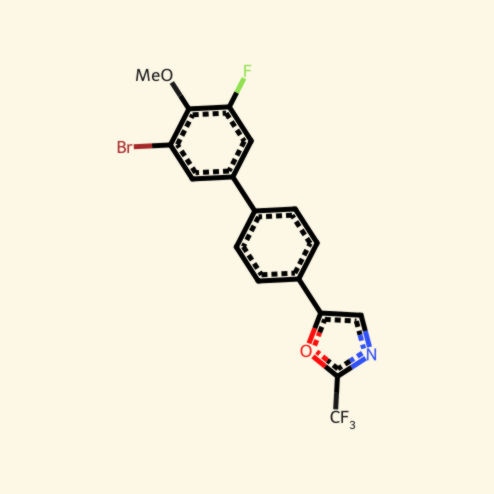 COc1c(F)cc(-c2ccc(-c3cnc(C(F)(F)F)o3)cc2)cc1Br